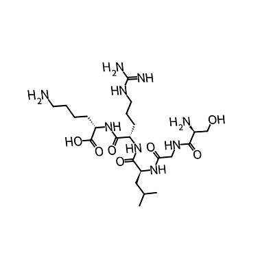 CC(C)C[C@H](NC(=O)CNC(=O)[C@@H](N)CO)C(=O)N[C@@H](CCCNC(=N)N)C(=O)N[C@@H](CCCCN)C(=O)O